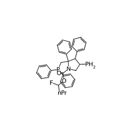 CCCC(F)OC(=O)N1CC(P)C(c2ccccc2)C1(CP(c1ccccc1)c1ccccc1)c1ccccc1